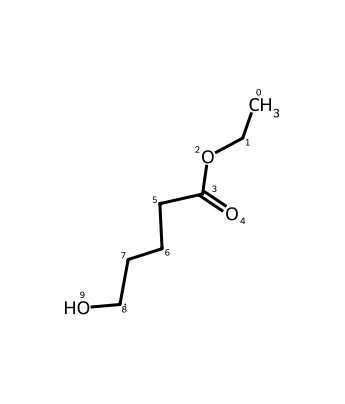 CCOC(=O)CCC[CH]O